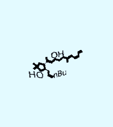 C=C/C=C\C=C(/C)CCC(O)/C=C(\C)[C@H]1CC(C)(C)C(O)[C@@H]1C/C=C\CCCC